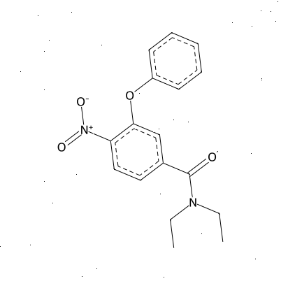 CCN(CC)C(=O)c1ccc([N+](=O)[O-])c(Oc2ccccc2)c1